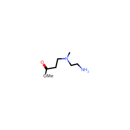 COC(=O)CCN(C)CCN